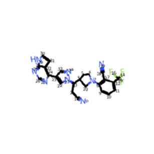 N#CCC(C1CCN(c2cccc(C(F)(F)F)c2C#N)C1)n1cc(-c2ncnc3[nH]ccc23)cn1